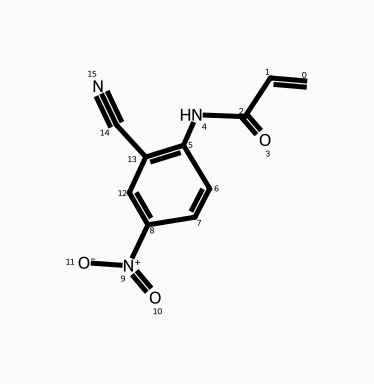 C=CC(=O)Nc1ccc([N+](=O)[O-])cc1C#N